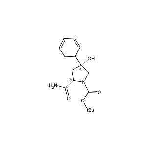 CC(C)(C)OC(=O)N1C[C@](O)(C2C=CC=CC2)C[C@H]1C(N)=O